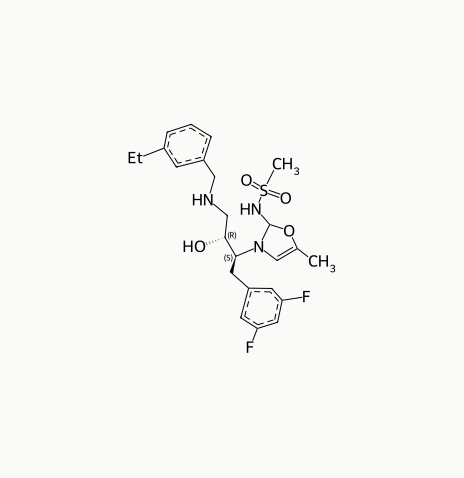 CCc1cccc(CNC[C@@H](O)[C@H](Cc2cc(F)cc(F)c2)N2C=C(C)OC2NS(C)(=O)=O)c1